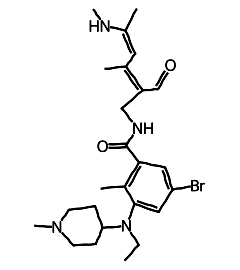 CCN(c1cc(Br)cc(C(=O)NC/C(C=O)=C(C)/C=C(/C)NC)c1C)C1CCN(C)CC1